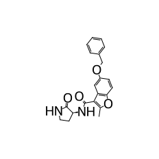 Cc1oc2ccc(OCc3ccccc3)cc2c1C(=O)N[C@H]1CCNC1=O